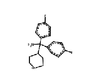 NC(c1ccc(F)cc1)(c1ccc(F)cc1)C1CCNCC1